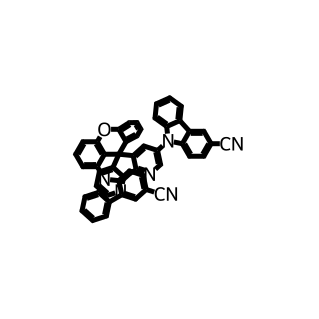 N#Cc1ccc2c(c1)c1ccccc1n2-c1cnc2c(c1)C1(c3ccccc3Oc3cccc(-n4c5ccccc5c5cc(C#N)ccc54)c31)c1cccnc1-2